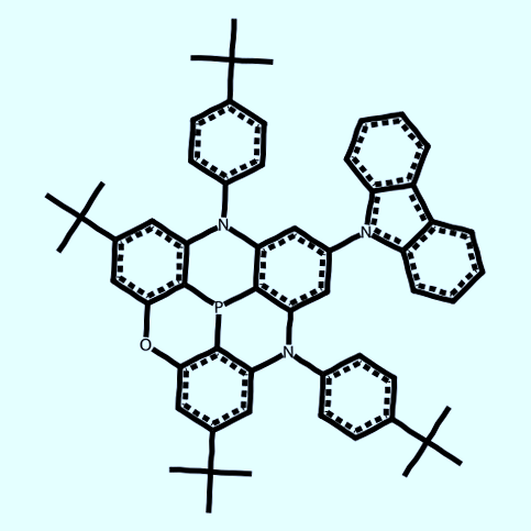 CC(C)(C)c1ccc(N2c3cc(C(C)(C)C)cc4c3P3c5c(cc(C(C)(C)C)cc5N(c5ccc(C(C)(C)C)cc5)c5cc(-n6c7ccccc7c7ccccc76)cc2c53)O4)cc1